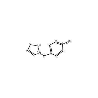 CC(C)c1ccc(CN2C=CCS2)cc1